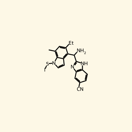 CCc1cc(C)c2c(ccn2SI)c1C(N)c1nc2cc(C#N)ccc2[nH]1